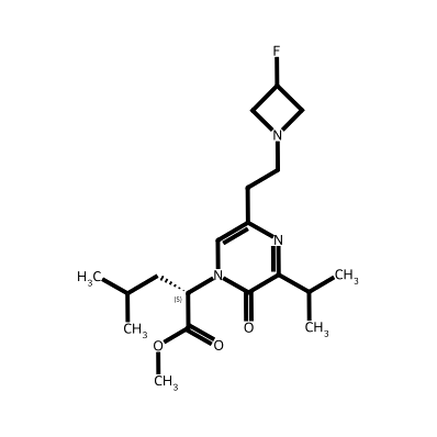 COC(=O)[C@H](CC(C)C)n1cc(CCN2CC(F)C2)nc(C(C)C)c1=O